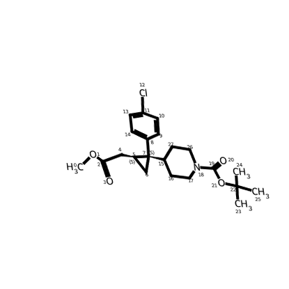 COC(=O)C[C@@H]1C[C@]1(c1ccc(Cl)cc1)C1CCN(C(=O)OC(C)(C)C)CC1